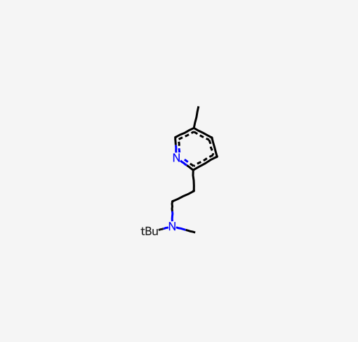 Cc1ccc(CCN(C)C(C)(C)C)nc1